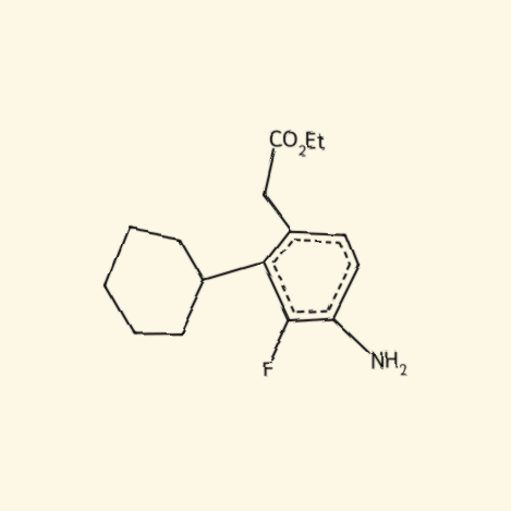 CCOC(=O)Cc1ccc(N)c(F)c1C1CCCCC1